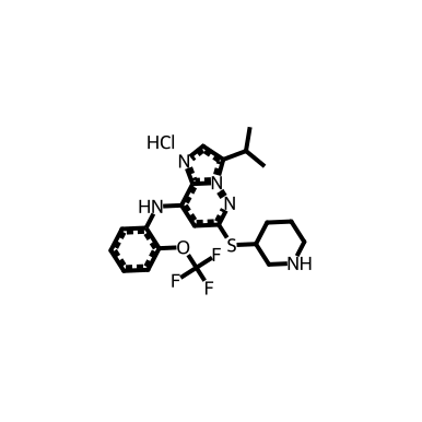 CC(C)c1cnc2c(Nc3ccccc3OC(F)(F)F)cc(SC3CCCNC3)nn12.Cl